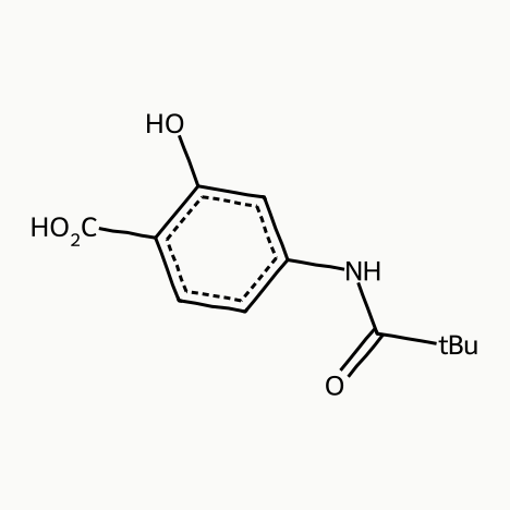 CC(C)(C)C(=O)Nc1ccc(C(=O)O)c(O)c1